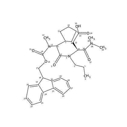 CCCN(C(=O)C(C1CCCC1)N(C)C(=O)OCC1c2ccccc2-c2ccccc21)[C@@H](CC(=O)O)C(=O)N(C)C